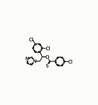 S=C(OC(Cn1ccnc1)c1ccc(Cl)cc1Cl)c1ccc(Cl)cc1